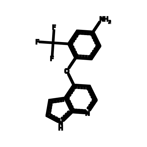 Nc1ccc(Oc2ccnc3[nH]ccc23)c(C(F)(F)F)c1